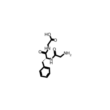 NCC(=O)N[C@H](Cc1ccccc1)C(=O)NCC(=O)O